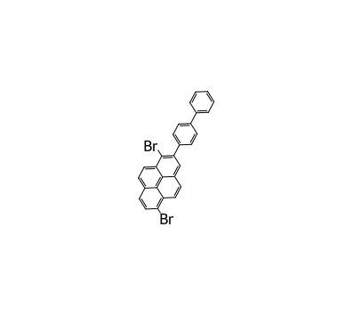 Brc1ccc2ccc3c(Br)c(-c4ccc(-c5ccccc5)cc4)cc4ccc1c2c43